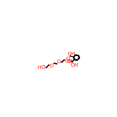 O=C(O)c1ccccc1C(=O)O.OCCOCCOCCO